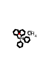 C.[Cl-].c1ccc(C[P+](c2ccccc2)(c2ccccc2)c2ccccc2)cc1